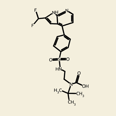 CC(C)(C)N(CCNS(=O)(=O)c1ccc(-c2ccnc3[nH]c(C(F)F)cc23)cc1)C(=O)O